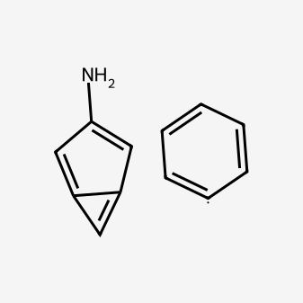 Nc1cc2cc-2c1.[c]1ccccc1